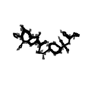 COC(=O)CS(=O)(=O)c1ccc([C@H](C)NC(=O)c2cc3c(Cl)c(Cl)c(C)cc3n2C)cc1